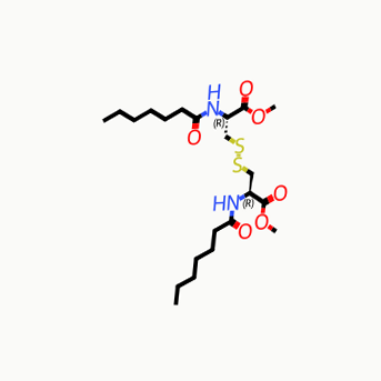 CCCCCCC(=O)N[C@@H](CSSC[C@H](NC(=O)CCCCCC)C(=O)OC)C(=O)OC